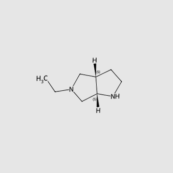 CCN1C[C@@H]2CCN[C@@H]2C1